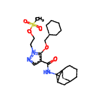 CS(=O)(=O)OCCn1ncc(C(=O)NC2C3CC4CCCC2(C4)C3)c1OCC1CCCCC1